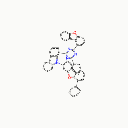 c1ccc(-c2nc(-c3cccc4oc5ccccc5c34)nc(-c3cccc4c5ccccc5n(-c5ccc6c(c5)oc5c(-c7ccccc7)cccc56)c34)n2)cc1